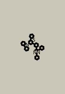 c1ccc(-c2ncc(-c3cccc(-c4cc(-n5c6ccccc6c6ccccc65)cc5c4sc4ccccc45)c3)c(-c3ccccc3)n2)cc1